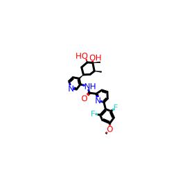 COc1cc(F)c(-c2cccc(C(=O)Nc3cnccc3[C@H]3C[C@@H](O)[C@](C)(O)[C@@H](C)C3)n2)c(F)c1